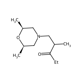 CCC(=O)C(C)CN1C[C@@H](C)O[C@@H](C)C1